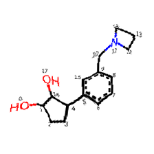 OC1CCC(c2cccc(CN3CCC3)c2)C1O